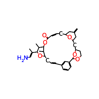 C=C1CC2C/C=C\C(=O)OC3C(C)C(C/C=C/c4cccc(c4)C4OCCC(CC(C1)O2)O4)OC(/C(C)=C/N)C3C